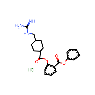 Cl.N=C(N)NCC1CCC(C(=O)Oc2ccccc2C(=O)Oc2ccccc2)CC1